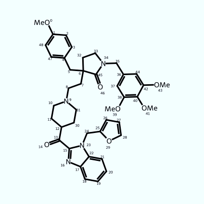 COc1ccc(CC2(CCN3CCC(C(=O)c4nc5ccccc5n4Cc4ccco4)CC3)CCN(Cc3cc(OC)c(OC)c(OC)c3)C2=O)cc1